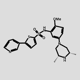 COc1ccc(N2C[C@@H](C)N[C@@H](C)C2)cc1NS(=O)(=O)c1ccc(-c2cccnc2)s1